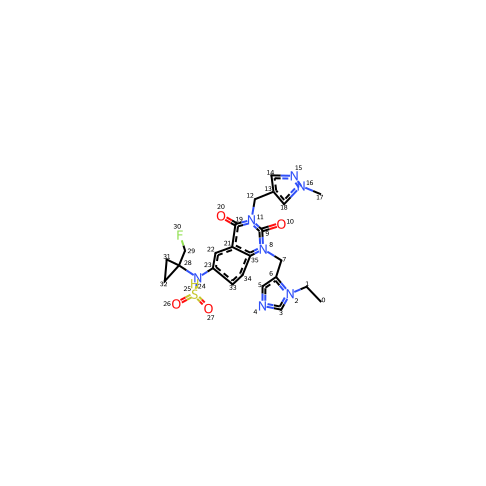 CCn1cncc1Cn1c(=O)n(Cc2cnn(C)c2)c(=O)c2cc(N([SH](=O)=O)C3(CF)CC3)ccc21